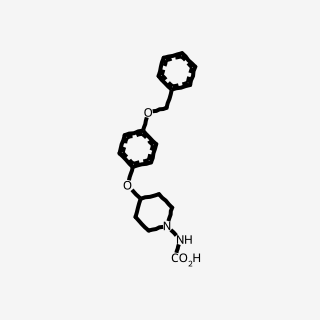 O=C(O)NN1CCC(Oc2ccc(OCc3ccccc3)cc2)CC1